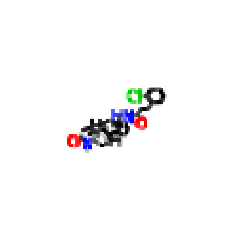 CN1C(=O)C=C[C@@]2(C)C1CC[C@@H]1[C@H]2CC[C@]2(C)C(NC(=O)CCc3ccccc3Cl)CC[C@@H]12